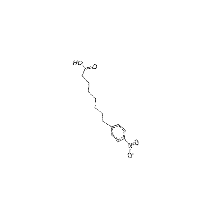 O=C(O)CCCCCCCc1ccc([N+](=O)[O-])cc1